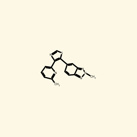 Cc1cccc(-c2ncsc2-c2ccc3nn(C)nc3c2)n1